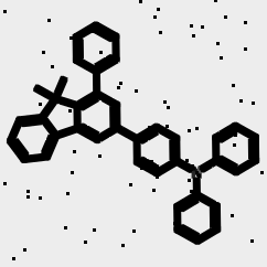 CC1(C)c2ccccc2-c2cc(-c3ccc(N(c4ccccc4)c4ccccc4)cc3)cc(-c3ccccc3)c21